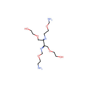 NCCOC/N=C(COCCO)/C(COCCO)=N/CCOCN